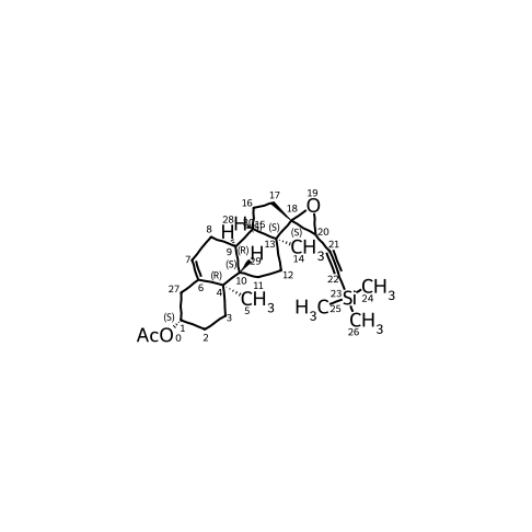 CC(=O)O[C@H]1CC[C@@]2(C)C(=CC[C@@H]3[C@@H]2CC[C@@]2(C)[C@H]3CC[C@]23OC3C#C[Si](C)(C)C)C1